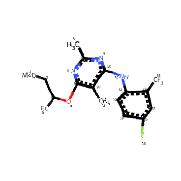 CCC(COC)Oc1nc(C)nc(Nc2ccc(F)cc2C(F)(F)F)c1C